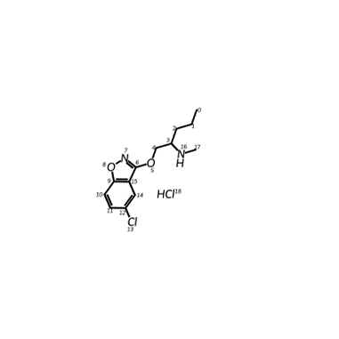 CCCC(COc1noc2ccc(Cl)cc12)NC.Cl